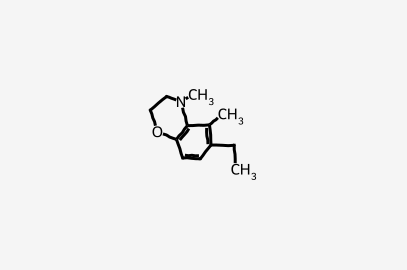 CCc1ccc2c(c1C)N(C)CCO2